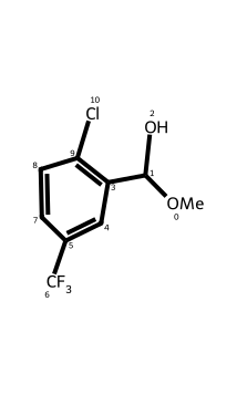 COC(O)c1cc(C(F)(F)F)ccc1Cl